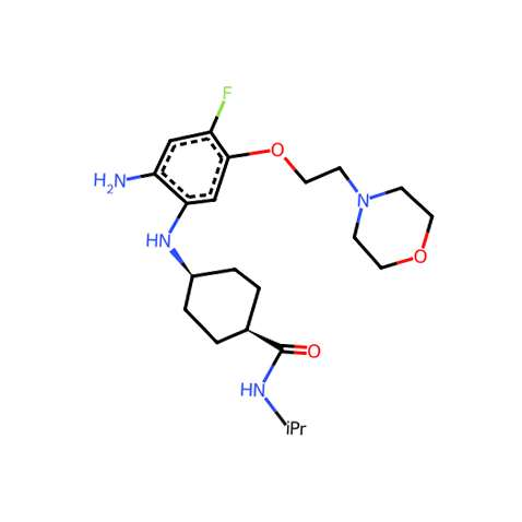 CC(C)NC(=O)[C@H]1CC[C@@H](Nc2cc(OCCN3CCOCC3)c(F)cc2N)CC1